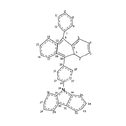 C1=CCC2C(=C1)C(c1ccccc1)=c1ccccc1=C2c1ccc(-n2c3ccccc3c3ccccc32)cc1